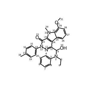 CCN(c1ccccc1)C(O)c1nn(-c2ccc(C)cc2)c(=O)c2c1c1cccc(OC)c1n2C